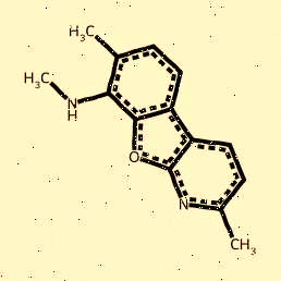 CNc1c(C)ccc2c1oc1nc(C)ccc12